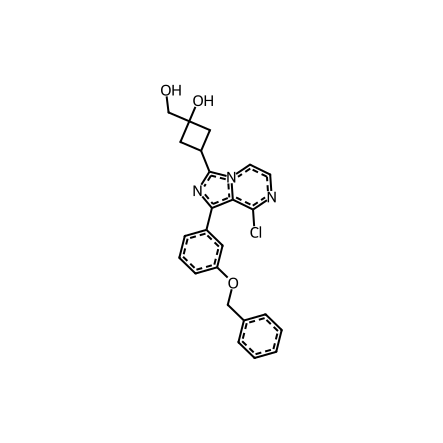 OCC1(O)CC(c2nc(-c3cccc(OCc4ccccc4)c3)c3c(Cl)nccn23)C1